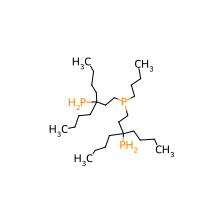 CCCCP(CCC(P)(CCCC)CCCC)CCC(P)(CCCC)CCCC